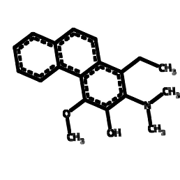 CCc1c(N(C)C)c(O)c(OC)c2c1ccc1ccccc12